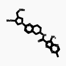 CNC1CN(c2ccc3c(n2)CCC(NC(=O)c2sc4nc(C)cnc4c2N)C3)CC1COC